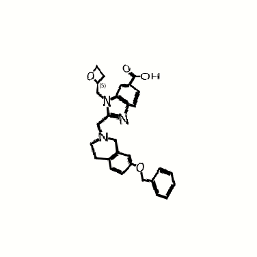 O=C(O)c1ccc2nc(CN3CCc4ccc(OCc5ccccc5)cc4C3)n(C[C@@H]3CCO3)c2c1